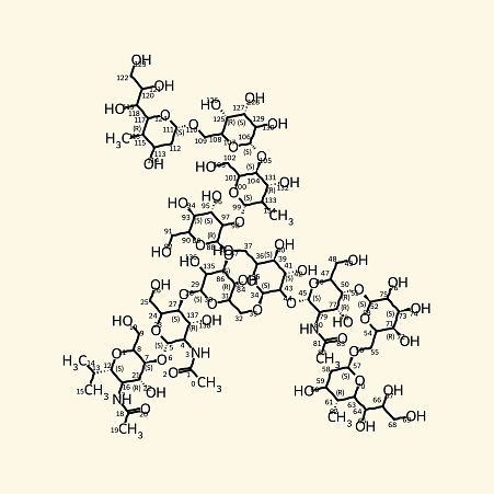 CC(=O)NC1[C@H](O[C@@H]2C(CO)O[C@@H](C(C)C)C(NC(C)=O)[C@H]2O)OC(CO)[C@@H](O[C@@H]2OC(CO[C@H]3OC(CO)[C@@H](O)[C@H](O)C3O[C@@H]3OC(CO)[C@H](O[C@@H]4OC(CO[C@@H]5CC(O)[C@@H](C)C(C(O)C(O)CO)O5)[C@H](O)[C@H](O)C4O)[C@H](O)C3NC(C)=O)[C@@H](O)[C@H](O[C@H]3OC(CO)[C@@H](O)[C@H](O)C3O[C@@H]3OC(CO)[C@@H](O[C@@H]4OC(CO[C@@H]5CC(O)[C@@H](C)C(C(O)C(O)CO)O5)[C@H](O)[C@H](O)C4O)[C@H](O)C3C)C2O)[C@@H]1O